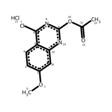 COc1ccc2c(Cl)nc(OC(C)=O)nc2c1.Cl